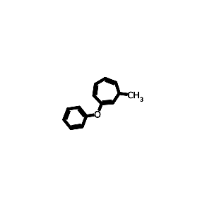 CC1C=CC=CC(Oc2ccccc2)=C1